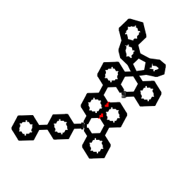 c1ccc(-c2ccc(N(c3ccc(-c4cccc5c4Sc4ccccc4C54c5ccccc5-c5c4ccc4ccccc54)cc3)c3ccccc3-c3ccccc3)cc2)cc1